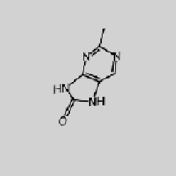 Cc1ncc2[nH]c(=O)[nH]c2n1